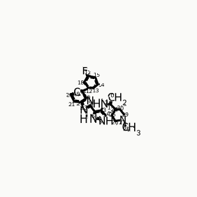 C=C(Nc1c[nH]nc1-c1nc2c(-c3cccc(F)c3)cccc2[nH]1)C1CCN(C)CC1